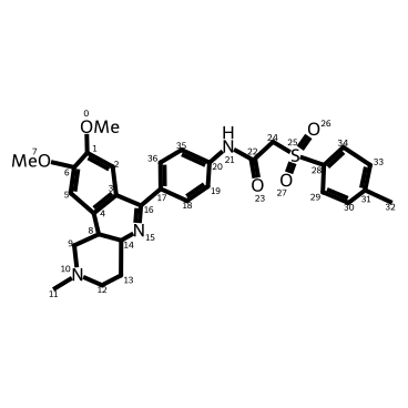 COc1cc2c(cc1OC)C1CN(C)CCC1N=C2c1ccc(NC(=O)CS(=O)(=O)c2ccc(C)cc2)cc1